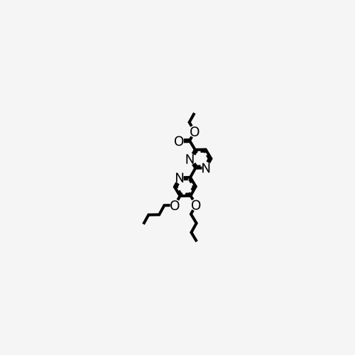 CCCCOc1cnc(-c2nccc(C(=O)OCC)n2)cc1OCCCC